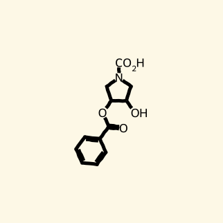 O=C(OC1CN(C(=O)O)CC1O)c1ccccc1